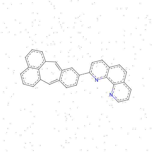 C1=c2ccc(-c3ccc4ccc5cccnc5c4n3)cc2=Cc2cccc3cccc1c23